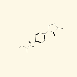 CC1CCN(c2ccc(S(=O)(=O)N(C)PP)cc2)C1=O